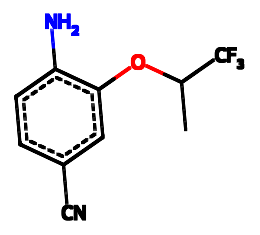 CC(Oc1cc(C#N)ccc1N)C(F)(F)F